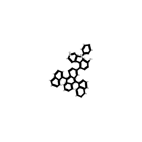 Fc1ccc(-c2ccc3c(-c4cccc5ccccc45)c4ccccc4c(-c4cccc5c4C=CCC5)c3c2)c2c3ccncc3n(-c3ccccc3)c12